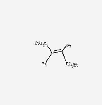 CCOC(=O)C(CC)=C(C(=O)OCC)C(C)C